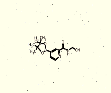 CC1(C)OB(c2ccnc(C(=O)NCC#N)c2)OC1(C)C